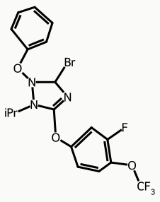 CC(C)N1C(Oc2ccc(OC(F)(F)F)c(F)c2)=NC(Br)N1Oc1ccccc1